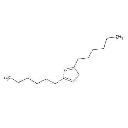 CCCCCCC1=[C]CC(CCCCCC)=C1